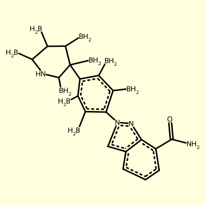 Bc1c(B)c(C2(B)C(B)NC(B)C(B)C2B)c(B)c(B)c1-n1cc2cccc(C(N)=O)c2n1